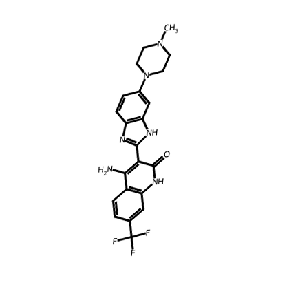 CN1CCN(c2ccc3nc(-c4c(N)c5ccc(C(F)(F)F)cc5[nH]c4=O)[nH]c3c2)CC1